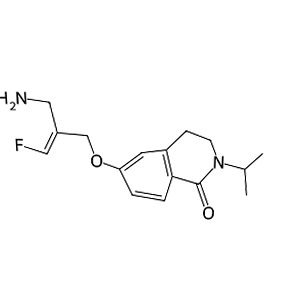 CC(C)N1CCc2cc(OCC(=CF)CN)ccc2C1=O